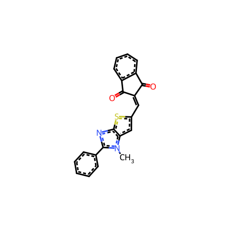 Cn1c(-c2ccccc2)nc2sc(C=C3C(=O)c4ccccc4C3=O)cc21